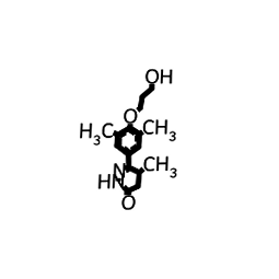 Cc1cc(C2=NNC(=O)CC2C)cc(C)c1OCCCO